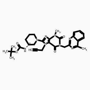 C#CCn1c(N2CCC[C@@H](NC(=O)OC(C)(C)C)C2)nc2c1c(=O)n(Cc1nc(C)c3ccccc3n1)c(=O)n2C